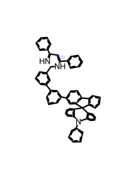 N=C(/C=C(\NCc1cccc(-c2cccc(-c3ccc4c(c3)C3(c5ccccc5-4)c4ccccc4N(c4ccccc4)c4ccccc43)c2)c1)c1ccccc1)c1ccccc1